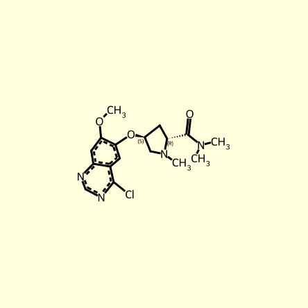 COc1cc2ncnc(Cl)c2cc1O[C@H]1C[C@H](C(=O)N(C)C)N(C)C1